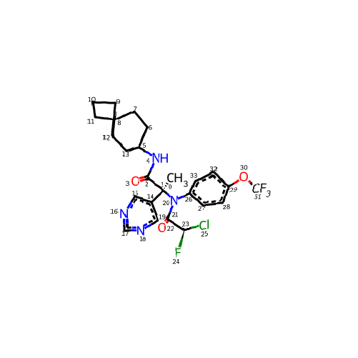 C[C@@](C(=O)NC1CCC2(CCC2)CC1)(c1cncnc1)N(C(=O)[C@H](F)Cl)c1ccc(OC(F)(F)F)cc1